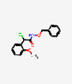 COc1ccccc1C(Cl)C(=O)NOCc1ccccc1